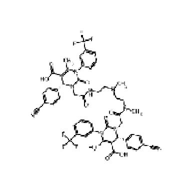 CC1=C(C(=O)O)[C@@H](c2ccc(C#N)cc2)N(CC(=O)NCCN(C)CCN(C)C(=O)CN2C(=O)N(c3cccc(C(F)(F)F)c3)C(C)=C(C(=O)O)[C@H]2c2ccc(C#N)cc2)C(=O)N1c1cccc(C(F)(F)F)c1